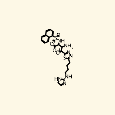 NC(C(=O)c1nnc(CCCCN[C@@H]2N=CCN2)s1)C(NS(=O)(=O)c1cccc2ccccc12)C(=O)O